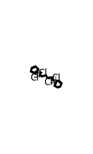 Cl[Si](Cl)(CCCC[Si](Cl)(Cl)c1ccccc1)c1ccccc1